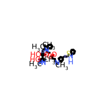 CN(CCCC(=O)OCCN1c2ccccc2C(C)(C)C1/C=C1\C(=O)C(c2c(C(F)(F)F)nn(C)c2O)=C1O)c1ccc(/C=C/C2Nc3ccccc3S2)cc1